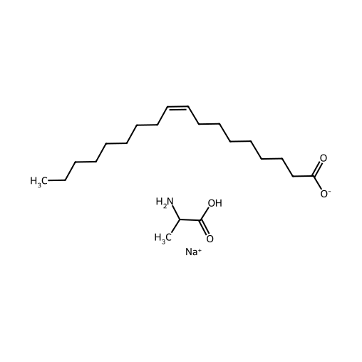 CC(N)C(=O)O.CCCCCCCC/C=C\CCCCCCCC(=O)[O-].[Na+]